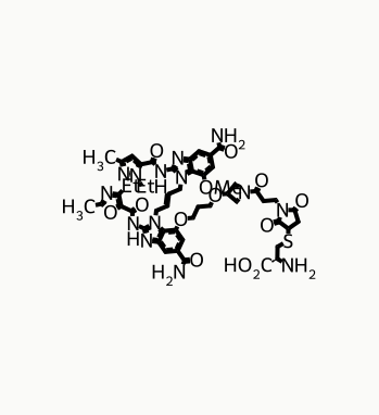 CCc1nc(C)oc1C(=O)Nc1nc2cc(C(N)=O)cc(OCCCOC3CN(C(=O)CCN4C(=O)CC(SC[C@H](N)C(=O)O)C4=O)C3)c2n1C/C=C/Cn1c(NC(=O)c2cc(C)nn2CC)nc2cc(C(N)=O)cc(OC)c21